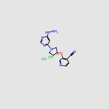 Cl.Cl.N#Cc1ccncc1O[C@H]1CCN(c2cc(NN)ncn2)C1